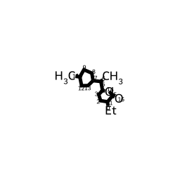 CCC1CCC(C(C)C2CCC(C)CC2)OC1=O